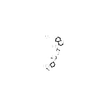 COc1ccc2nccc(NC3CN(C[C@@H]4CN(c5ccc6c(c5)NC(=O)CO6)C(=O)O4)C3)c2c1